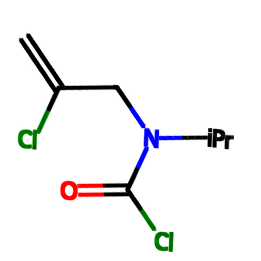 C=C(Cl)CN(C(=O)Cl)C(C)C